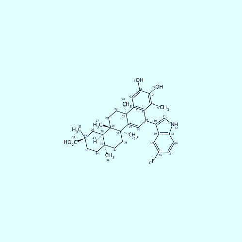 Cc1c(O)c(O)cc2c1C(c1c[nH]c3ccc(F)cc13)C=C1[C@@]2(C)CC[C@@]2(C)[C@@H]3C[C@](C)(C(=O)O)CC[C@]3(C)CC[C@]12C